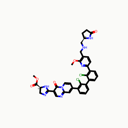 COC(=O)[C@@H]1CN=C(c2cnc3cc(-c4cccc(-c5cccc(-c6ccc(CNC[C@H]7CCC(=O)N7)c(OC)n6)c5Cl)c4Cl)ccn3c2=O)N1